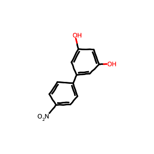 O=[N+]([O-])c1ccc(-c2cc(O)cc(O)c2)cc1